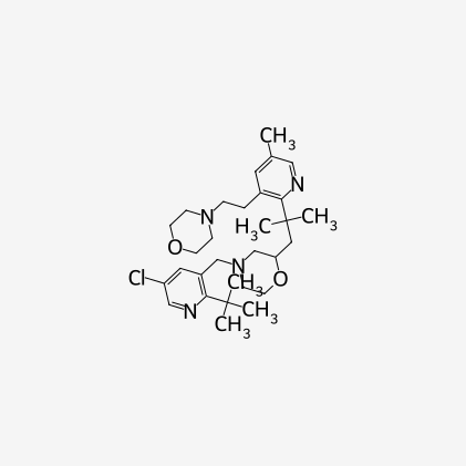 Cc1cnc(C(C)(C)CC2CN(Cc3cc(Cl)cnc3C(C)(C)C)CCO2)c(CCN2CCOCC2)c1